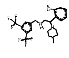 COc1ccccc1C(CNCc1cc(C(F)(F)F)cc(C(F)(F)F)c1)N1CCC(C)CC1